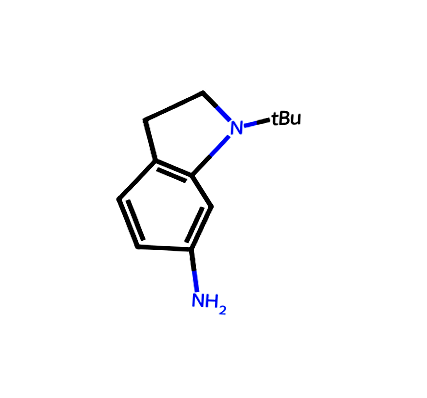 CC(C)(C)N1CCc2ccc(N)cc21